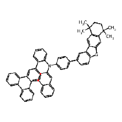 CC1(C)CCC(C)(C)c2cc3c(cc21)sc1ccc(-c2ccc(N(c4ccc5ccccc5c4)c4ccccc4-c4ccc5c6ccccc6c6ccccc6c5c4)cc2)cc13